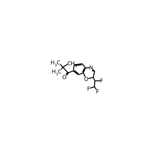 CC(C)(C)C(=O)c1ccc2c(c1)OC(C(F)C(F)F)C=N2